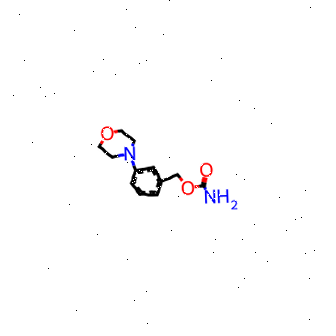 NC(=O)OCc1cccc(N2CCOCC2)c1